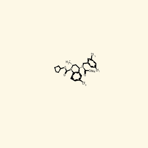 COC(=O)N(Cc1cc(C(F)(F)F)cc(C(F)(F)F)c1)[C@H]1C[C@@H](C)N(C(=O)OC2CCCC2)c2ccc(C(F)(F)F)cc21